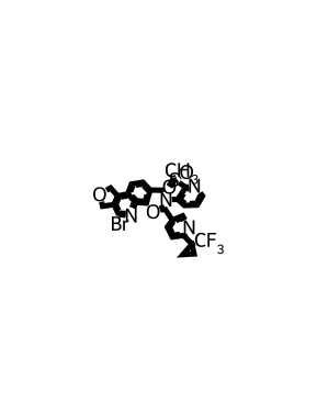 CS(=O)(=O)c1ncccc1N(Cc1ccc2c3c(c(Br)nc2c1)COC3)C(=O)c1ccc(C2(C(F)(F)F)CC2)nc1